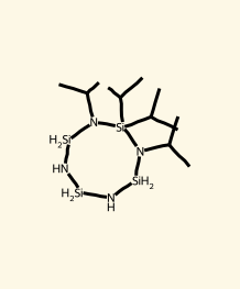 CC(C)N1[SiH2]N[SiH2]N[SiH2]N(C(C)C)[Si]1(C(C)C)C(C)C